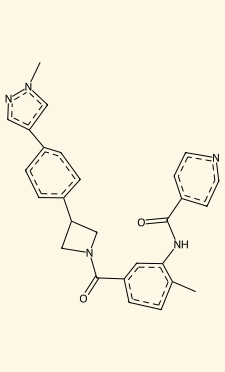 Cc1ccc(C(=O)N2CC(c3ccc(-c4cnn(C)c4)cc3)C2)cc1NC(=O)c1ccncc1